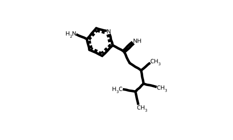 C[C](C)C(C)C(C)CC(=N)c1ccc(N)cn1